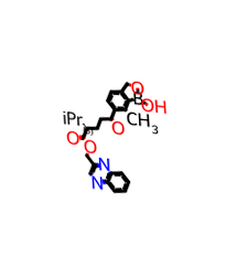 Cc1c(C(=O)CC[C@H](C(=O)OCc2cnc3ccccc3n2)C(C)C)ccc2c1B(O)OC2